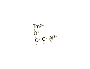 [Al+3].[O-2].[O-2].[O-2].[Tm+3]